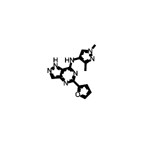 Cc1nn(C)cc1Nc1nc(-c2ccco2)nc2cn[nH]c12